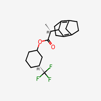 C[C@@H](C(=O)OC1CCC[C@@H](C(F)(F)F)C1)C1C2=C3CCC(=C1CC2)C3